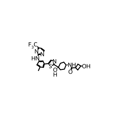 Cc1cc(Nc2nccc(C(F)(F)F)n2)cc(-c2cnc([C@]3(O)CC[C@@H](NC(=O)C4CC(O)C4)CC3)s2)c1